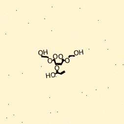 C=CC(=O)O.O=C(/C=C\C(=O)OCCO)OCCO